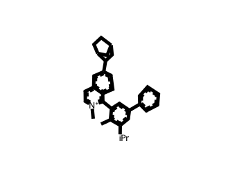 Cc1c(-c2c3ccc(C4CC5CCC4C5)cc3cc[n+]2C)cc(-c2ccccc2)cc1C(C)C